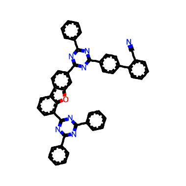 N#Cc1ccccc1-c1ccc(-c2nc(-c3ccccc3)nc(-c3ccc4c(c3)oc3c(-c5nc(-c6ccccc6)nc(-c6ccccc6)n5)cccc34)n2)cc1